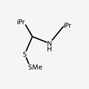 CSSC(NC(C)C)C(C)C